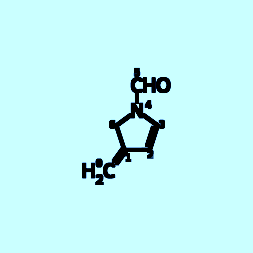 C=C1C=CN(C=O)C1